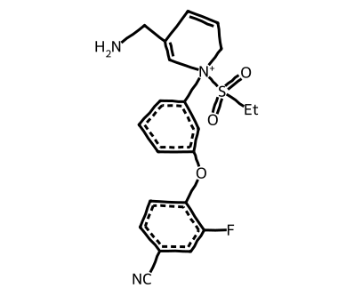 CCS(=O)(=O)[N+]1(c2cccc(Oc3ccc(C#N)cc3F)c2)C=C(CN)C=CC1